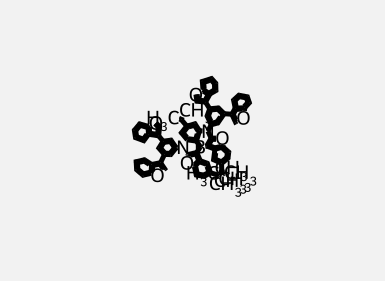 CC(C)c1cc2c3c(c1)N(c1cc(-c4coc5ccccc45)cc(-c4coc5ccccc45)c1)c1oc4ccc(C(C)(C)C)cc4c1B3c1c(oc3ccc(C(C)(C)C)cc13)N2c1cc(-c2coc3ccccc23)cc(-c2coc3ccccc23)c1